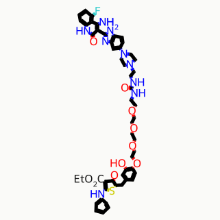 CCOC(=O)C1=C(Nc2ccccc2)SC(Cc2ccc(OCCOCCOCCOCCNC(=O)NCCN3CCN(c4ccc5[nH]c(-c6c(N)c7c(F)cccc7[nH]c6=O)nc5c4)CC3)c(O)c2)C1=O